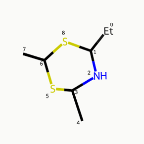 CCC1NC(C)SC(C)S1